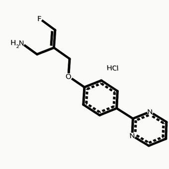 Cl.NC/C(=C\F)COc1ccc(-c2ncccn2)cc1